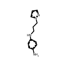 Nc1ccc(NCCCn2cccn2)cc1